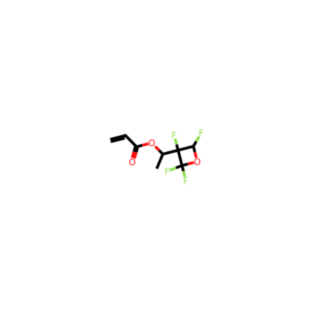 C=CC(=O)OC(C)C1(F)C(F)OC1(F)F